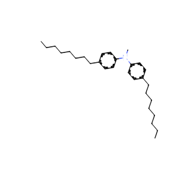 CCCCCCCCc1ccc(N(C)c2ccc(CCCCCCCC)cc2)cc1